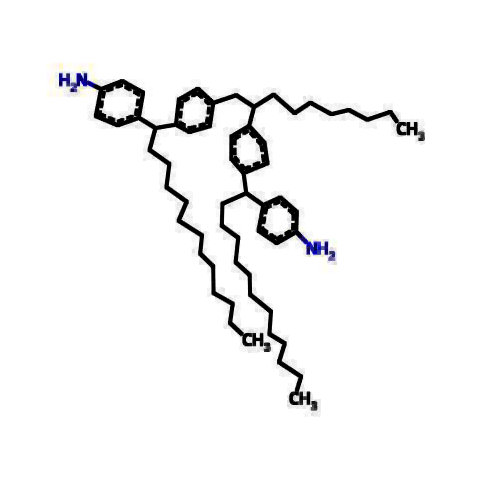 CCCCCCCCCCCCC(c1ccc(N)cc1)c1ccc(CC(CCCCCCCC)c2ccc(C(CCCCCCCCCCCC)c3ccc(N)cc3)cc2)cc1